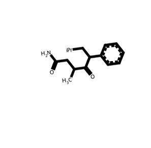 CC(C)CC(C(=O)C(C)CC(N)=O)c1ccccc1